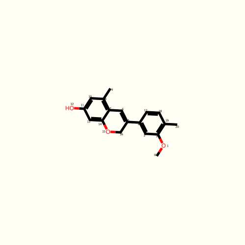 COc1cc(C2=Cc3c(C)cc(O)cc3OC2)ccc1C